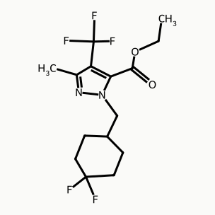 CCOC(=O)c1c(C(F)(F)F)c(C)nn1CC1CCC(F)(F)CC1